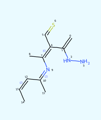 C=C(NN)\C(C=S)=C(C)/N=C(C)\C=C/C